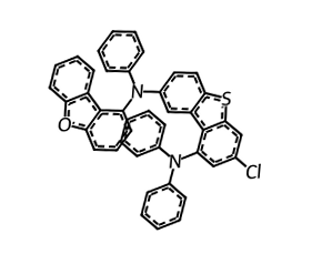 Clc1cc(N(c2ccccc2)c2ccccc2)c2c(c1)sc1ccc(N(c3ccccc3)c3cccc4oc5ccccc5c34)cc12